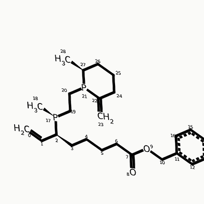 C=C[C@H](CCCCC(=O)OCc1ccccc1)[P@@](C)CCP1C(=C)CCC[C@@H]1C